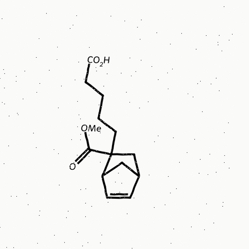 COC(=O)C1(CCCCC(=O)O)CC2C=CC1C2